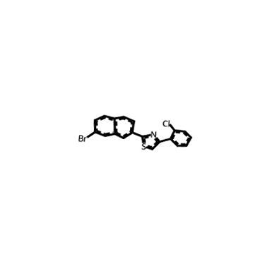 Clc1ccccc1-c1csc(-c2ccc3ccc(Br)cc3c2)n1